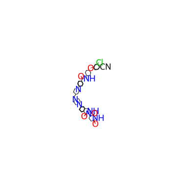 N#Cc1ccc(O[C@H]2CC[C@H](NC(=O)c3ccc(N4CCC(CN5CCN(c6ccc7c(c6)CNN(C6CCC(=O)NC6=O)C7=O)CC5)CC4)cc3)CC2)cc1Cl